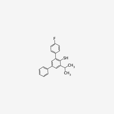 CC(C)c1cc(-c2ccccc2)cc(-c2ccc(F)cc2)c1S